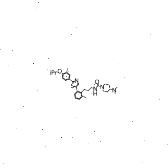 Cc1cc(-c2ncc(-c3cccc(C)c3CCCNC(=O)N3CCC(N(C)C)CC3)s2)ccc1OC(C)C